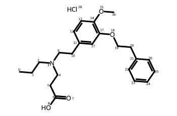 CCCN(CCC(=O)O)CCc1ccc(OC)c(OCCc2ccccc2)c1.Cl